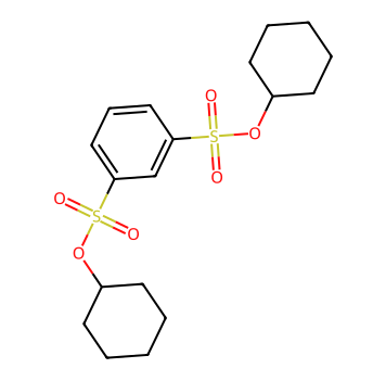 O=S(=O)(OC1CCCCC1)c1cccc(S(=O)(=O)OC2CCCCC2)c1